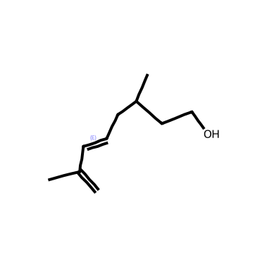 C=C(C)/C=C/CC(C)CCO